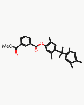 COC(=O)c1cccc(C(=O)Oc2cc(C)c(C(C)(C)c3cc(C)c(C)cc3C)cc2C)c1